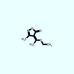 CCOC(C)=C1C(=O)ON=C1C